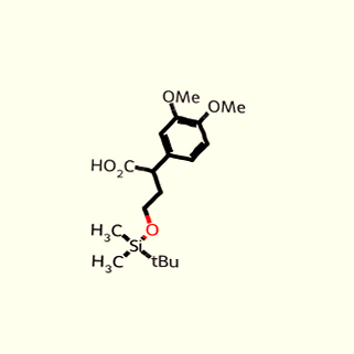 COc1ccc(C(CCO[Si](C)(C)C(C)(C)C)C(=O)O)cc1OC